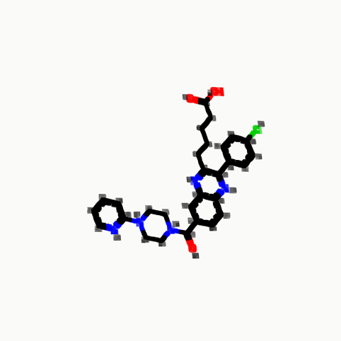 O=C(O)CCCCc1nc2cc(C(=O)N3CCN(c4ccccn4)CC3)ccc2nc1-c1ccc(Cl)cc1